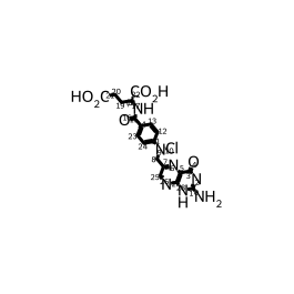 Nc1nc(=O)c2nc(CN(Cl)c3ccc(C(=O)N[C@@H](CCC(=O)O)C(=O)O)cc3)cnc2[nH]1